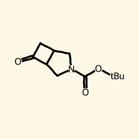 CC(C)(C)OC(=O)N1CC2CC(=O)C2C1